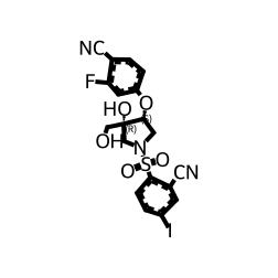 N#Cc1ccc(O[C@H]2CN(S(=O)(=O)c3ccc(I)cc3C#N)C[C@@]2(O)CO)cc1F